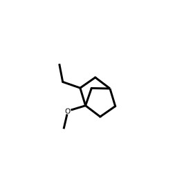 CCC1CC2CCC1(OC)C2